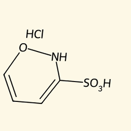 Cl.O=S(=O)(O)C1=CC=CON1